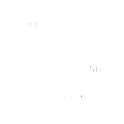 O=C(O)C=C(Nc1ccccc1)c1ccc(Cc2ccc(OC(F)(F)F)cc2)cc1